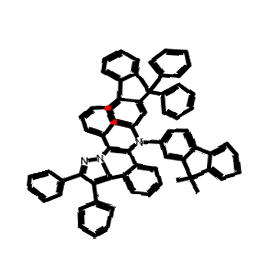 CC1(C)c2ccccc2-c2ccc(N(c3ccc4c(c3)C(c3ccccc3)(c3ccccc3)c3ccccc3-4)c3c(-c4ccccc4)n4nc(-c5ccccc5)c(-c5ccccc5)c4c4ccccc34)cc21